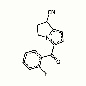 N#CC1CCn2c(C(=O)c3ccccc3F)ccc21